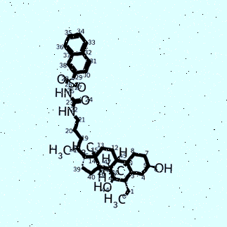 CC[C@@H]1C2C[C@H](O)CCC2(C)[C@H]2CCC3(C)[C@@H]([C@H](C)CCCNC(=O)NS(=O)(=O)c4ccc5ccccc5c4)CC[C@H]3[C@@H]2[C@@H]1O